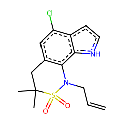 C=CCN1c2c(cc(Cl)c3cc[nH]c23)CC(C)(C)S1(=O)=O